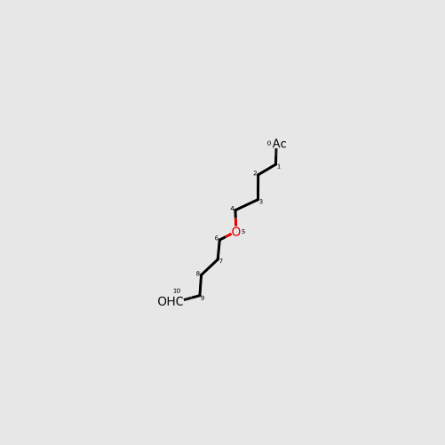 CC(=O)CCCCOCCCCC=O